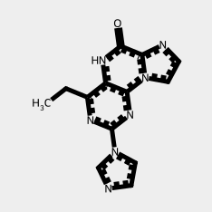 CCc1nc(-n2ccnc2)nc2c1[nH]c(=O)c1nccn12